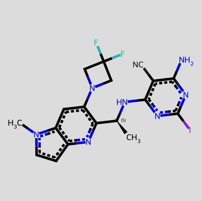 C[C@H](Nc1nc(I)nc(N)c1C#N)c1nc2ccn(C)c2cc1N1CC(F)(F)C1